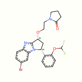 O=C1CCCN1CCO[C@@H]1C[C@H](c2ccccc2OC(F)F)n2c1nc1ccc(Br)cc12